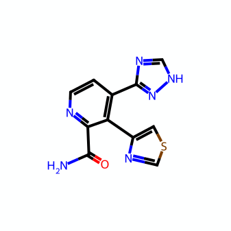 NC(=O)c1nccc(-c2nc[nH]n2)c1-c1cscn1